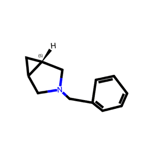 c1ccc(CN2CC3C[C@@H]3C2)cc1